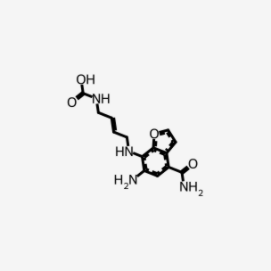 NC(=O)c1cc(N)c(NC/C=C/CNC(=O)O)c2occc12